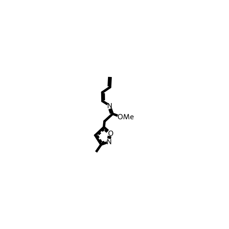 C=C/C=C\N=C(/Cc1cc(C)no1)OC